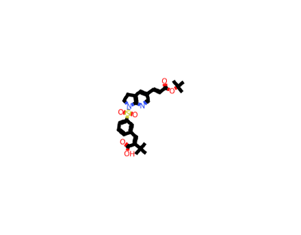 CC(C)(C)OC(=O)C=Cc1cnc2c(c1)CCN2S(=O)(=O)c1cccc(C=C(C(=O)O)C(C)(C)C)c1